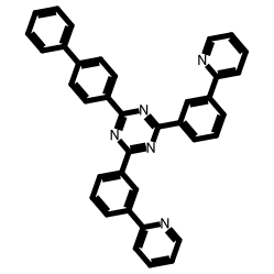 c1ccc(-c2ccc(-c3nc(-c4cccc(-c5ccccn5)c4)nc(-c4cccc(-c5ccccn5)c4)n3)cc2)cc1